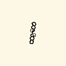 C1=C2CC3CC(C4=CC5CC6CCCC=C6CC5O4)OC3CC2=CCC1